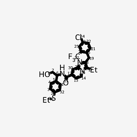 CCSc1ccc(C(CO)NC(=O)c2ccn3c(CC)c(Cc4ccc(Cl)cc4C(F)(F)F)nc3c2)cc1